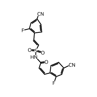 N#Cc1ccc(/C=C\C(=O)NS(=O)(=O)/C=C/c2ccc(C#N)cc2F)c(F)c1